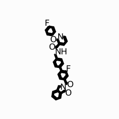 O=C(NCc1ccc(-c2ccc(C(=O)N3Cc4ccccc4C3=O)cc2F)cc1)c1cccnc1Oc1ccc(F)cc1